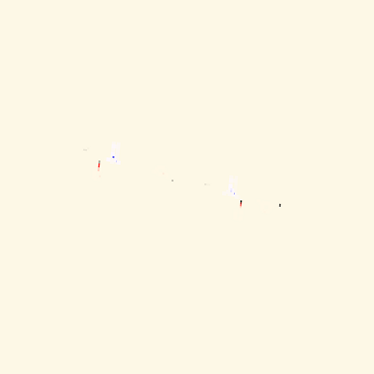 CC(C)OCC(=O)NCCCCCOCC(F)CNC(=O)C(C)C